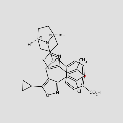 Cc1cc(C(=O)O)ccc1-c1csc(N2[C@@H]3CC[C@H]2CC(OCc2c(-c4c(Cl)cccc4Cl)noc2C2CC2)C3)n1